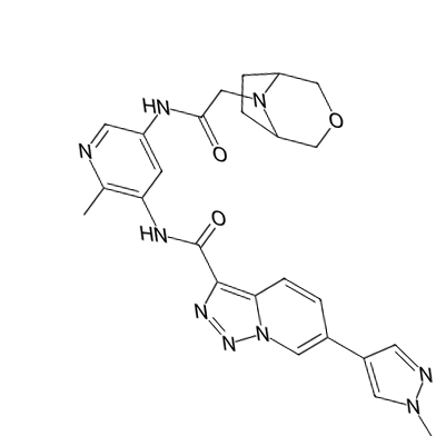 Cc1ncc(NC(=O)CN2C3CCC2COC3)cc1NC(=O)c1nnn2cc(-c3cnn(C)c3)ccc12